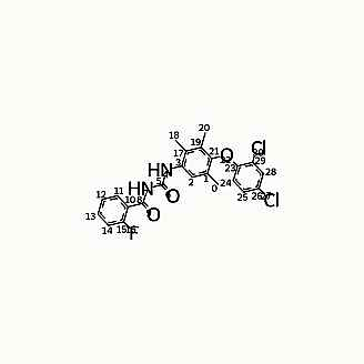 Cc1cc(NC(=O)NC(=O)c2ccccc2F)c(C)c(C)c1Oc1ccc(Cl)cc1Cl